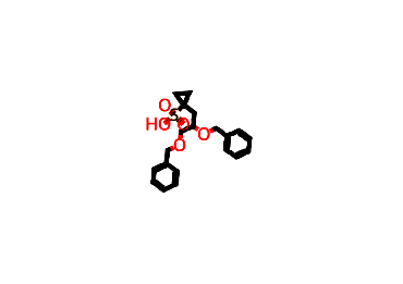 O=S(=O)(O)C1(CC(COCc2ccccc2)OCc2ccccc2)CC1